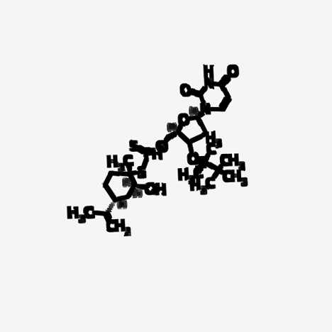 C=C(C)[C@@H]1CC[C@](C)(S[PH](=S)OC[C@H]2O[C@@H](n3ccc(=O)[nH]c3=O)CC2O[Si](C)(C)C(C)(C)C)[C@@H](O)C1